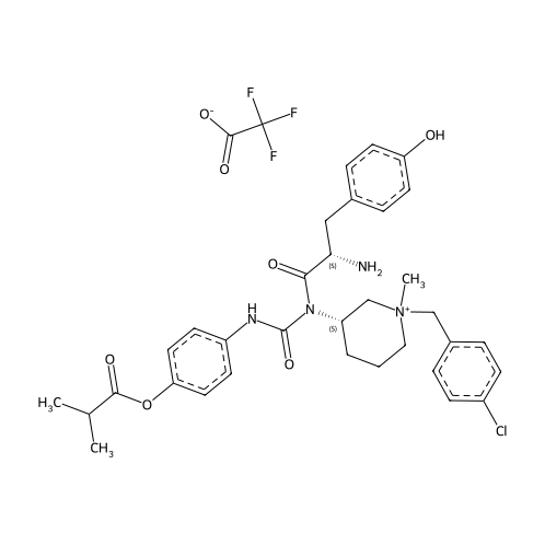 CC(C)C(=O)Oc1ccc(NC(=O)N(C(=O)[C@@H](N)Cc2ccc(O)cc2)[C@H]2CCC[N+](C)(Cc3ccc(Cl)cc3)C2)cc1.O=C([O-])C(F)(F)F